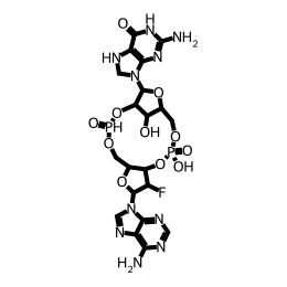 Nc1nc2c(c(=O)[nH]1)NCN2C1OC2COP(=O)(O)OC3C(CO[PH](=O)OC1C2O)OC(n1cnc2c(N)ncnc21)C3F